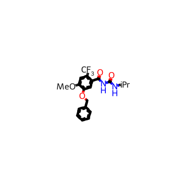 COc1cc(C(F)(F)F)c(C(=O)NC(=O)NC(C)C)cc1OCc1ccccc1